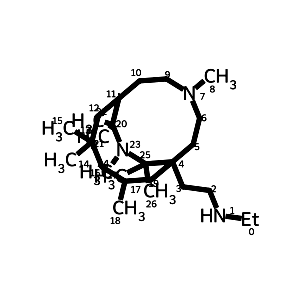 [CH2]CNCCC12CCN(C)CC[C](CC(C)(C)CC(C)C1)C(C)(C)N(C)C2(C)C